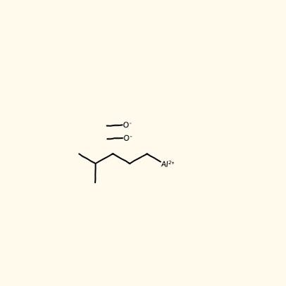 CC(C)CC[CH2][Al+2].C[O-].C[O-]